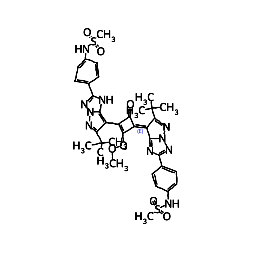 COOC1=C(c2c(C(C)(C)C)nn3nc(-c4ccc(NS(C)(=O)=O)cc4)[nH]c23)C(=O)/C1=c1\c(C(C)(C)C)nn2nc(-c3ccc(NS(C)(=O)=O)cc3)nc12